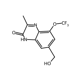 Cc1nc2c(OC(F)(F)F)cc(CO)cc2[nH]c1=O